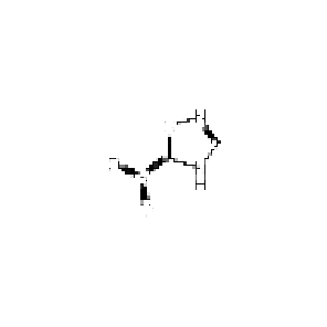 O=S(=O)=c1[nH]cns1